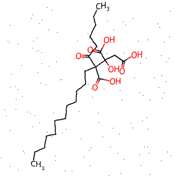 CCCCCCCCCCCCC(C(=O)O)(C(=O)CCCCC)C(O)(CC(=O)O)C(=O)O